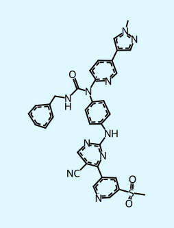 Cn1cc(-c2ccc(N(C(=O)NCc3ccccc3)c3ccc(Nc4ncc(C#N)c(-c5cncc(S(C)(=O)=O)c5)n4)cc3)nc2)cn1